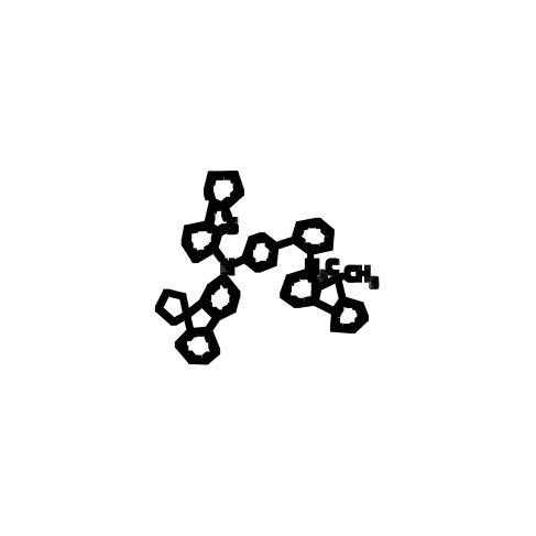 CC1(C)c2ccccc2-c2cccc(-c3ccccc3-c3ccc(N(c4ccc5c(c4)C4(CCCC4)c4ccccc4-5)c4cccc5c4sc4ccccc45)cc3)c21